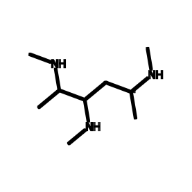 CN[C](C)CC(NC)C(C)NC